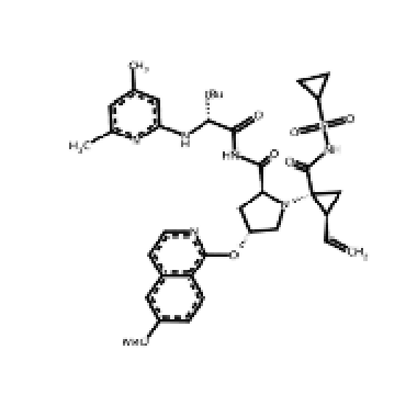 C=C[C@@H]1C[C@@]1(C(=O)NS(=O)(=O)C1CC1)N1C[C@H](Oc2nccc3cc(OC)ccc23)C[C@H]1C(=O)NC(=O)[C@H](Nc1cc(C)cc(C)n1)C(C)(C)C